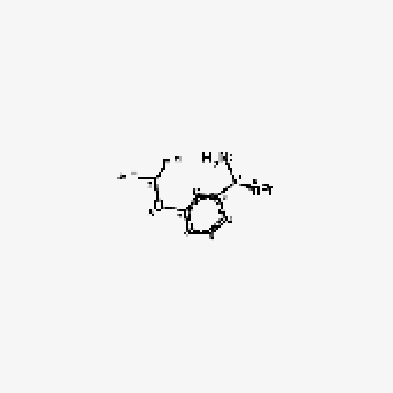 CCC[C@H](N)c1cccc(OC(F)F)c1